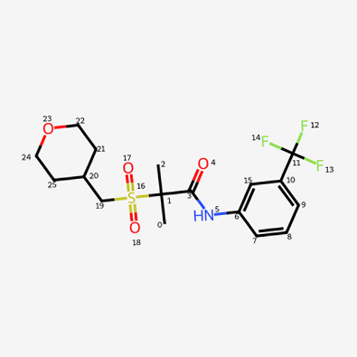 CC(C)(C(=O)Nc1cccc(C(F)(F)F)c1)S(=O)(=O)CC1CCOCC1